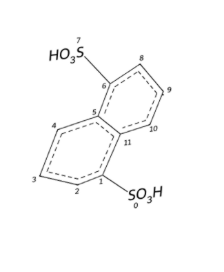 O=S(=O)(O)c1cccc2c(S(=O)(=O)O)c[c]cc12